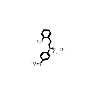 COc1ccc(N(C)CCc2ccccc2N)cc1.Cl.Cl